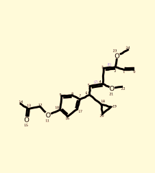 C=C/C(=C\C(=C\C(c1ccc(OCC(C)=O)cc1)C1CC1)OC)OC